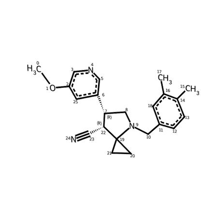 COc1cncc([C@@H]2CN(Cc3ccc(C)c(C)c3)C3(CC3)[C@@H]2C#N)c1